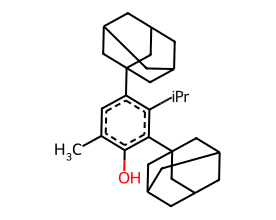 Cc1cc(C23CC4CC(CC(C4)C2)C3)c(C(C)C)c(C23CC4CC(CC(C4)C2)C3)c1O